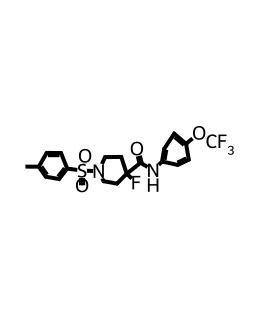 Cc1ccc(S(=O)(=O)N2CCC(F)(C(=O)Nc3ccc(OC(F)(F)F)cc3)CC2)cc1